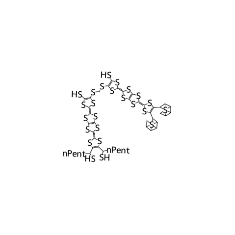 CCCCCC(S)C1=C(C(S)CCCCC)SC(=C2SC3=C(SC(=C4SC(S)=C(SCSC5=C(S)SC(=C6SC7=C(S6)SC(=C6SC(C8C9C%10C%11C%12CS%128%119%10)=C(C8C9C%10C%11C%12CS%128%119%10)S6)S7)S5)S4)S3)S2)S1